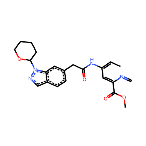 C=N/C(=C\C(=C/C)NC(=O)Cc1ccc2cnn(C3CCCCO3)c2c1)C(=O)OC